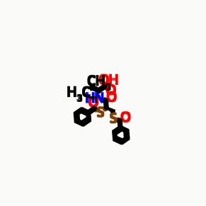 CC(C)[C@H](NC(=O)[C@@H](CSC(=O)c1ccccc1)SC(=O)c1ccccc1)C(=O)O